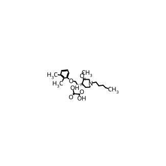 CCCCCN1CC[C@H](CCOc2cccc(C)c2C)[C@@H](OC)C1.O=C(O)C(=O)O